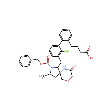 CC1CC2(COCC(=O)N2)C(Cc2cccc(-c3ccccc3CCCC(=O)O)c2F)N1C(=O)OCc1ccccc1